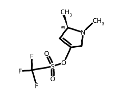 C[C@@H]1C=C(OS(=O)(=O)C(F)(F)F)CN1C